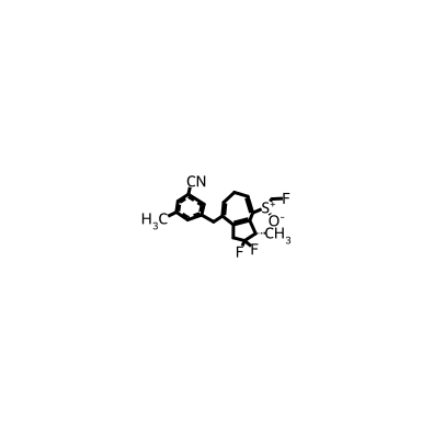 Cc1cc(C#N)cc(CC2=CCC=C([S+]([O-])CF)C3=C2CC(F)(F)[C@H]3C)c1